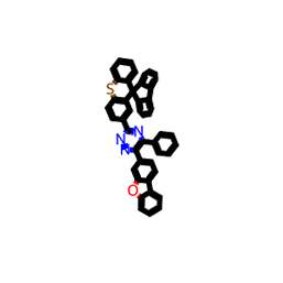 c1ccc(-c2nc(-c3ccc4c(c3)C3(c5ccccc5S4)c4ccccc4-c4ccccc43)nnc2-c2ccc3c(c2)oc2ccccc23)cc1